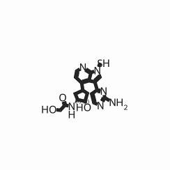 Nc1nccc(-c2cn(S)c3nccc(C4C[C@@H](O)[C@H](NC(=O)CO)C4)c23)n1